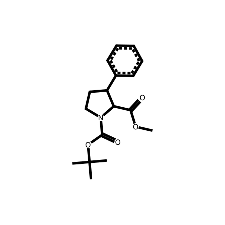 COC(=O)C1C(c2ccccc2)CCN1C(=O)OC(C)(C)C